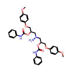 COc1ccc(OCC(CN(N)CC(COc2ccc(OC)cc2)OC(=O)Nc2ccccc2)OC(=O)Nc2ccccc2)cc1